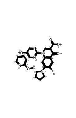 O=C(O)c1cn(-c2ncc(O)cn2)c2cc(N3CCC[C@@H]3COc3ccccn3)c(F)cc2c1=O